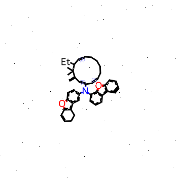 C=C1/C=C(N(c2ccc3oc4c(c3c2)CCC=C4)c2cccc3c2oc2ccc#cc23)\C=C/CCCC/C=C\C(CC)C1(C)C